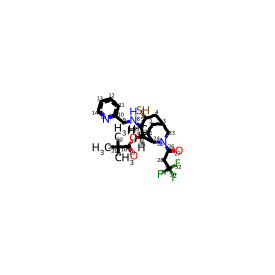 C[C@@H]1CC2CC(S)[C@H](NCc3ccccn3)[C@H](OC(=O)C(C)(C)C)C1N(C(=O)CC(F)(F)F)C2